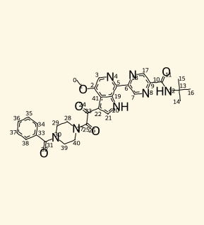 COc1cnc(-c2cnc(C(=O)NC(C)(C)C)cn2)c2[nH]cc(C(=O)C(=O)N3CCN(C(=O)c4ccccc4)CC3)c12